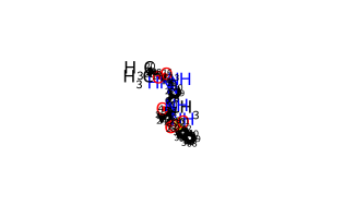 CCC(C(=O)NCC1CCCN(C(=N)NC(=O)OCC(C)C)C1)(C1CC1)C(C=O)NS(=O)(=O)c1ccc2ccccc2c1